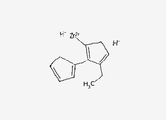 CCC1=CC[C]([Zr+2])=C1C1=CC=CC1.[H-].[H-]